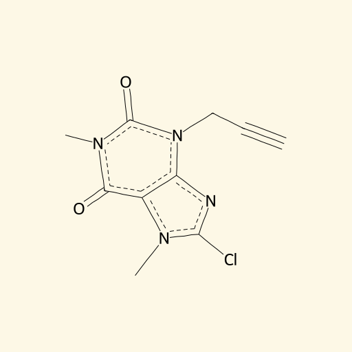 C#CCn1c(=O)n(C)c(=O)c2c1nc(Cl)n2C